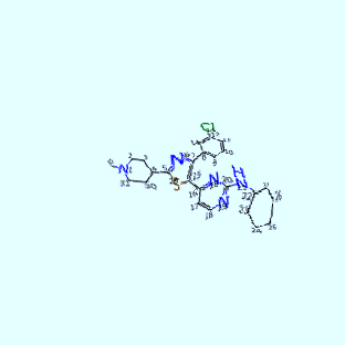 CN1CCC(c2nc(-c3cccc(Cl)c3)c(-c3ccnc(NC4CCCCC4)n3)s2)CC1